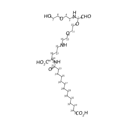 O=CC(NCCOCCO)OCCOCCNCCC[C@H](NC(=O)CCCCCCCCCCCCC(=O)O)C(=O)O